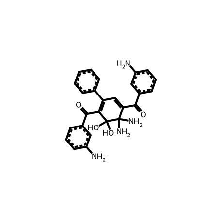 Nc1cccc(C(=O)C2=CC(c3ccccc3)=C(C(=O)c3cccc(N)c3)C(O)(O)C2(N)N)c1